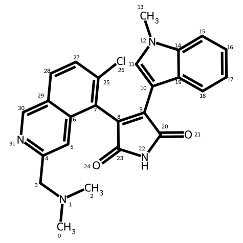 CN(C)Cc1cc2c(C3=C(c4cn(C)c5ccccc45)C(=O)NC3=O)c(Cl)ccc2cn1